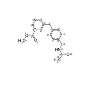 COC(=O)c1cncc(Cc2ccc(CNC(C)=O)cc2)c1